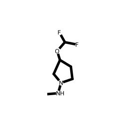 CNN1CCC(OC(F)F)C1